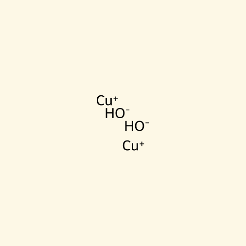 [Cu+].[Cu+].[OH-].[OH-]